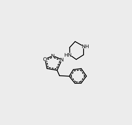 C1CNCCN1.c1ccc(Cc2conn2)cc1